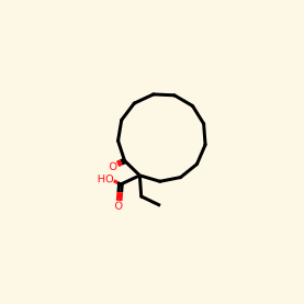 CCC1(C(=O)O)CCCCCCCCCCCC1=O